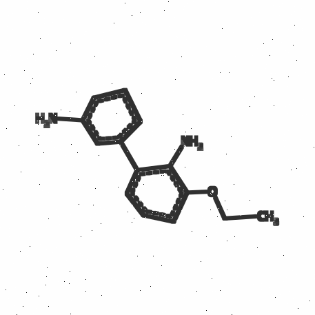 CCOc1cccc(-c2cccc(N)c2)c1N